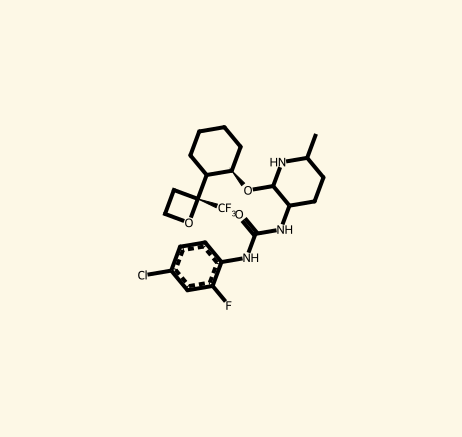 CC1CCC(NC(=O)Nc2ccc(Cl)cc2F)C(O[C@@H]2CCCCC2[C@@]2(C(F)(F)F)CCO2)N1